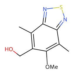 COc1c(CO)c(C)c2nsnc2c1C